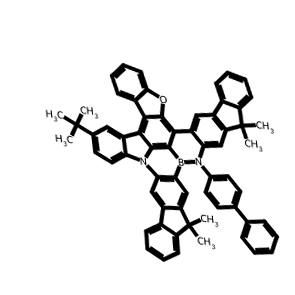 CC(C)(C)c1ccc2c(c1)c1c3c(oc4ccccc43)c3c4c1n2-c1cc2c(cc1B4N(c1ccc(-c4ccccc4)cc1)c1cc4c(cc1-3)-c1ccccc1C4(C)C)C(C)(C)c1ccccc1-2